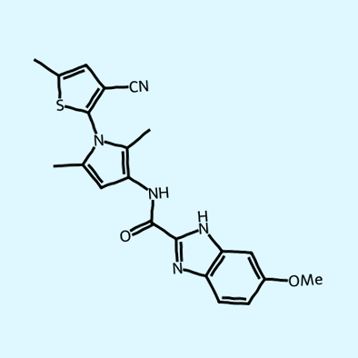 COc1ccc2nc(C(=O)Nc3cc(C)n(-c4sc(C)cc4C#N)c3C)[nH]c2c1